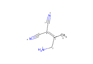 CC(CN)=C(C#N)C#N